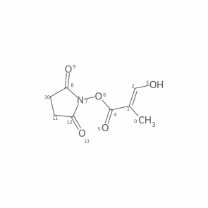 CC(=CO)C(=O)ON1C(=O)CCC1=O